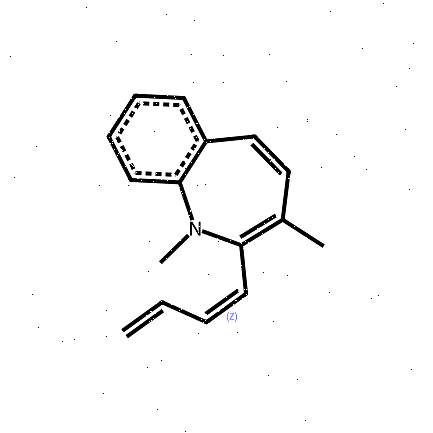 C=C/C=C\C1=C(C)C=Cc2ccccc2N1C